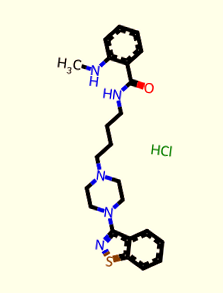 CNc1ccccc1C(=O)NCCCCN1CCN(c2nsc3ccccc23)CC1.Cl